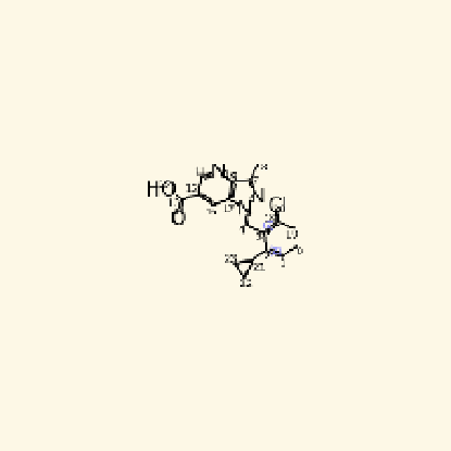 C/C=C(\C(Cn1nc(C)c2ncc(C(=O)O)cc21)=C(/C)Cl)C1CC1